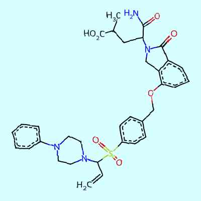 C=CC(N1CCN(c2ccccc2)CC1)S(=O)(=O)c1ccc(COc2cccc3c2CN(C(CC(C)C(=O)O)C(N)=O)C3=O)cc1